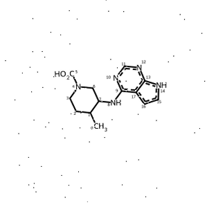 CC1CCN(C(=O)O)CC1Nc1ncnc2[nH]ccc12